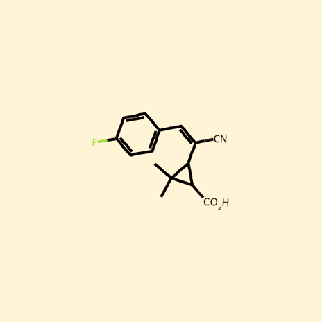 CC1(C)C(C(=O)O)C1C(C#N)=Cc1ccc(F)cc1